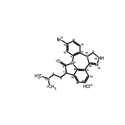 CN(C)CCC1C(=O)N2c3cc(Br)ccc3N3CNN=C3c3cccc1c32.Cl